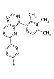 Cc1ccc(-c2ncnc3ccc(-c4ccc(F)cc4)nc23)c(C)c1C